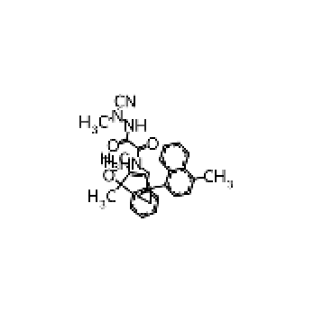 C/C(=C/C1(c2ccc(C)c3ccccc23)CC1)C(C)(O)c1ccccc1CNC(=O)C(=O)NN(C)C#N